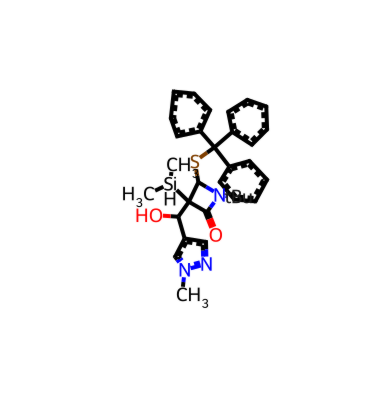 Cn1cc(C(O)C2([SiH](C)C)C(=O)N(C(C)(C)C)C2SC(c2ccccc2)(c2ccccc2)c2ccccc2)cn1